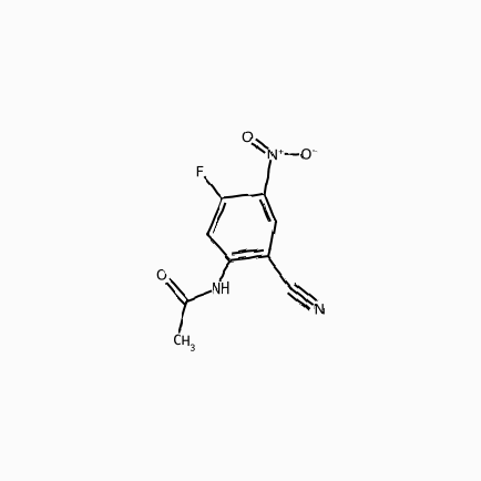 CC(=O)Nc1cc(F)c([N+](=O)[O-])cc1C#N